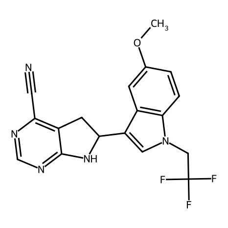 COc1ccc2c(c1)c(C1Cc3c(C#N)ncnc3N1)cn2CC(F)(F)F